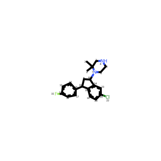 CC1(C)CNCCN1C1CC(c2ccc(F)cc2)c2ccc(Cl)cc21